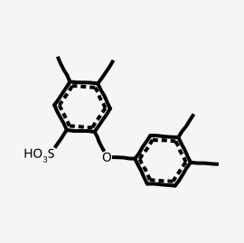 Cc1ccc(Oc2cc(C)c(C)cc2S(=O)(=O)O)cc1C